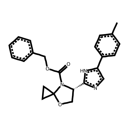 Cc1ccc(-c2cnc([C@@H]3COC4(CC4)N3C(=O)OCc3ccccc3)[nH]2)cc1